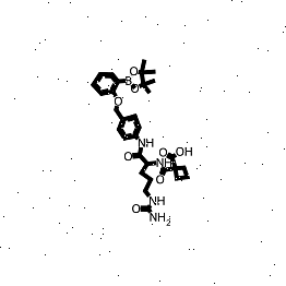 CC1(C)OB(c2ccccc2OCc2ccc(NC(=O)C(CCCNC(N)=O)NC(=O)C3(C(=O)O)CCC3)cc2)OC1(C)C